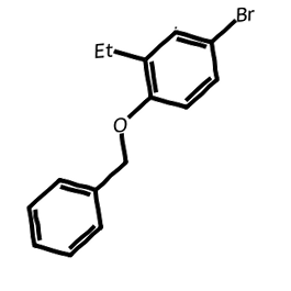 CCc1[c]c(Br)ccc1OCc1ccccc1